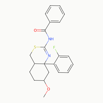 COC1CCC2CSC(NC(=O)c3ccccc3)=NC2(c2ccccc2F)C1